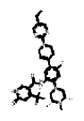 CCc1cnc(N2CC=C(c3cc(NC(=O)c4c[nH]c(=O)cc4C(F)(F)F)c(N4C[C@@H](C)N(C)[C@@H](C)C4)cc3F)CC2)nc1